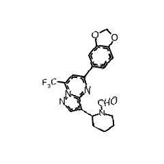 O=CN1CCCCC1c1cnn2c(C(F)(F)F)cc(-c3ccc4c(c3)OCO4)nc12